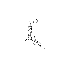 CCOc1cc2nc(C(F)[C@@H]3CCOC3)cn2cc1NC(=O)c1cccc(C(F)(F)F)n1